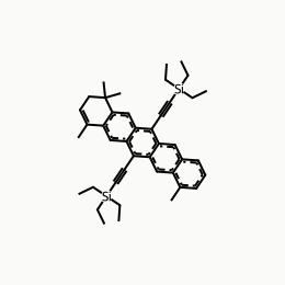 CC[Si](C#Cc1c2cc3c(cc2c(C#C[Si](CC)(CC)CC)c2cc4c(C)cccc4cc12)C(C)=CCC3(C)C)(CC)CC